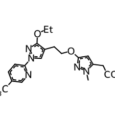 CCOc1nn(-c2ccc(C(F)(F)F)cn2)cc1CCOc1cc(CC(=O)O)n(C)n1